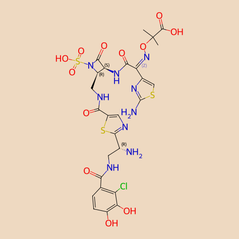 CC(C)(O/N=C(\C(=O)N[C@@H]1C(=O)N(S(=O)(=O)O)[C@@H]1CNC(=O)c1cnc([C@H](N)CNC(=O)c2ccc(O)c(O)c2Cl)s1)c1csc(N)n1)C(=O)O